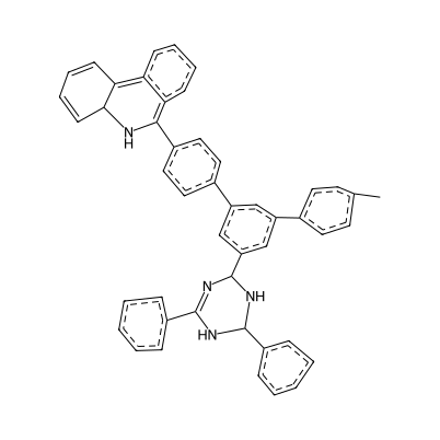 Cc1ccc(-c2cc(-c3ccc(C4=c5ccccc5=C5C=CC=CC5N4)cc3)cc(C3N=C(c4ccccc4)NC(c4ccccc4)N3)c2)cc1